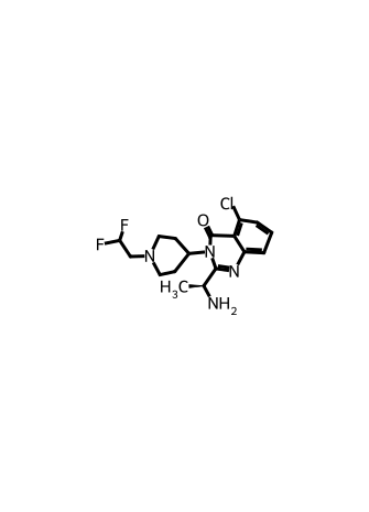 C[C@H](N)c1nc2cccc(Cl)c2c(=O)n1C1CCN(CC(F)F)CC1